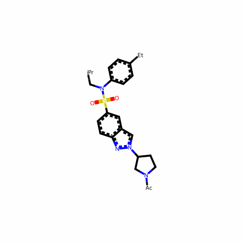 CCc1ccc(N(CC(C)C)S(=O)(=O)c2ccc3nn(C4CCN(C(C)=O)C4)cc3c2)cc1